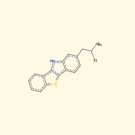 CCCCC(CC)Cc1ccc2c(c1)[nH]c1c3ccccc3sc21